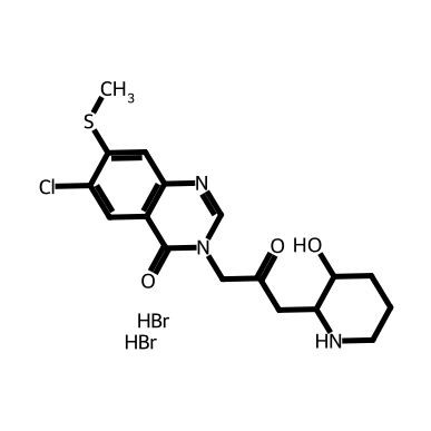 Br.Br.CSc1cc2ncn(CC(=O)CC3NCCCC3O)c(=O)c2cc1Cl